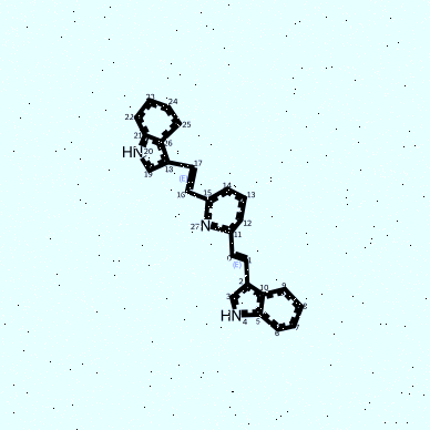 C(=C\c1c[nH]c2ccccc12)/c1cccc(/C=C/c2c[nH]c3ccccc23)n1